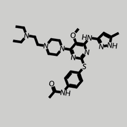 CCN(CC)CCN1CCN(c2nc(Sc3ccc(NC(C)=O)cc3)nc(Nc3cc(C)[nH]n3)c2OC)CC1